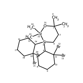 CC1(C)CC[Si](C2CCCCC2(Br)Br)(C2CCCCC2(Br)Br)[Si](C)(C)O1